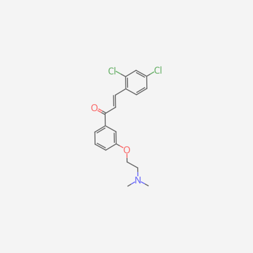 CN(C)CCOc1cccc(C(=O)C=Cc2ccc(Cl)cc2Cl)c1